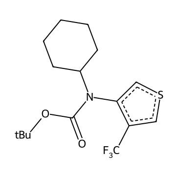 CC(C)(C)OC(=O)N(c1cscc1C(F)(F)F)C1CCCCC1